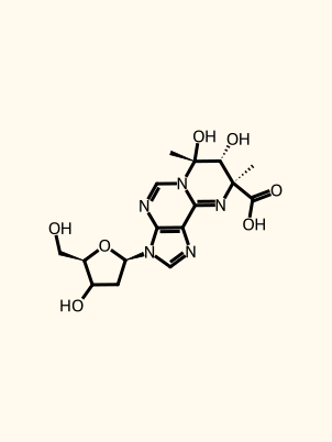 C[C@]1(C(=O)O)N=C2c3ncn([C@H]4CC(O)[C@@H](CO)O4)c3N=CN2[C@](C)(O)[C@@H]1O